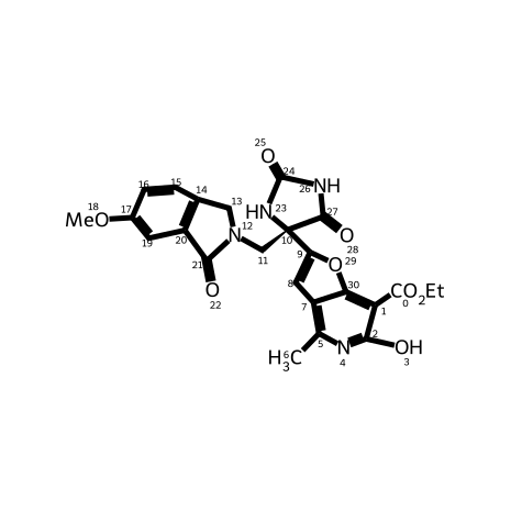 CCOC(=O)c1c(O)nc(C)c2cc([C@]3(CN4Cc5ccc(OC)cc5C4=O)NC(=O)NC3=O)oc12